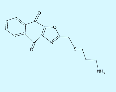 NCCCSCc1nc2c(o1)C(=O)c1ccccc1C2=O